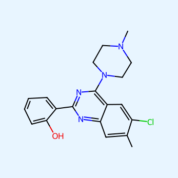 Cc1cc2nc(-c3ccccc3O)nc(N3CCN(C)CC3)c2cc1Cl